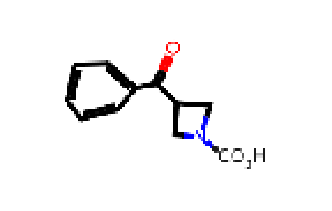 O=C(c1ccccc1)C1CN(C(=O)O)C1